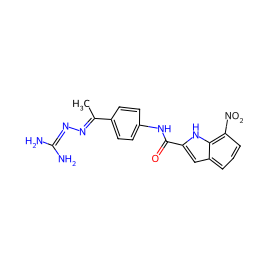 CC(=NN=C(N)N)c1ccc(NC(=O)c2cc3cccc([N+](=O)[O-])c3[nH]2)cc1